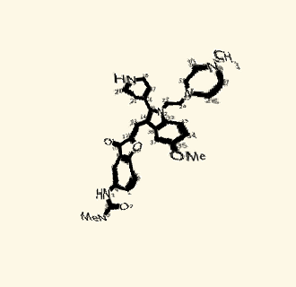 CNC(=O)Nc1ccc2c(c1)C(=O)C(=Cc1c(C3=CCNCC3)n(CCN3CCN(C)CC3)c3ccc(OC)cc13)O2